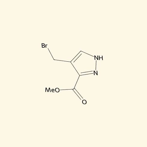 COC(=O)c1n[nH]cc1CBr